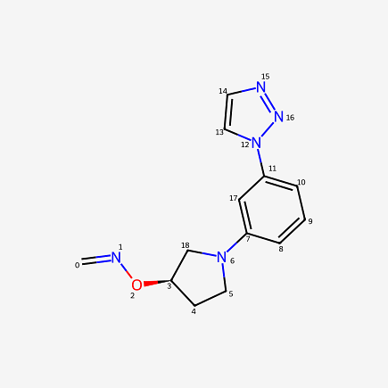 C=NO[C@@H]1CCN(c2cccc(-n3ccnn3)c2)C1